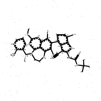 CSc1nc2c3c(c(Cl)c(-c4ccc(F)c5sc(NC(=O)OC(C)(C)C)c(C#N)c45)c(F)c3n1)OCCN2[C@H](C)c1cccnc1N